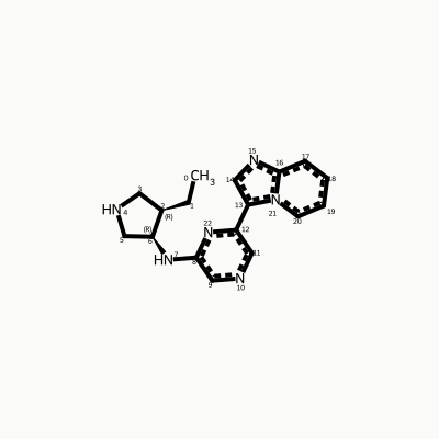 CC[C@@H]1CNC[C@@H]1Nc1cncc(-c2cnc3ccccn23)n1